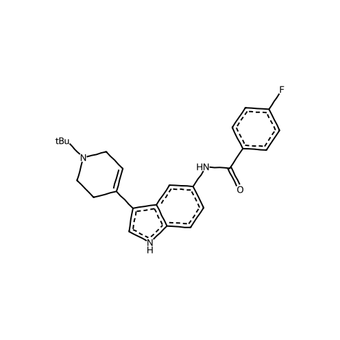 CC(C)(C)N1CC=C(c2c[nH]c3ccc(NC(=O)c4ccc(F)cc4)cc23)CC1